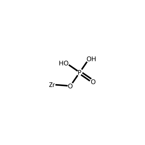 O=P(O)(O)[O][Zr]